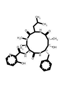 CC(C)CC1NC(=O)[C@H](C)[C@H](O)[C@H](Cc2ccccc2)NC(=O)[C@@H](NC(=O)c2ncccc2O)[C@@H](C)N(C)C1=O